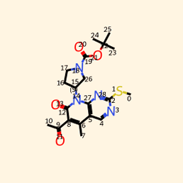 CSc1ncc2c(C)c(C(C)=O)c(=O)n([C@H]3CCN(C(=O)OC(C)(C)C)C3)c2n1